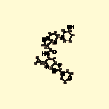 O=C(Nc1cc2sc(N3CCOCC3)nc2nc1C1CC1)c1cnn2ccc(N3CCCC(O)C3)nc12